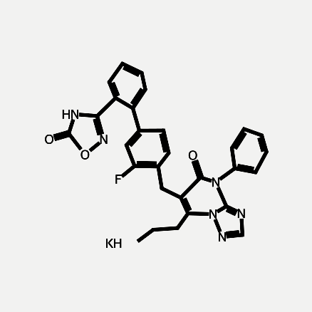 CCCc1c(Cc2ccc(-c3ccccc3-c3noc(=O)[nH]3)cc2F)c(=O)n(-c2ccccc2)c2ncnn12.[KH]